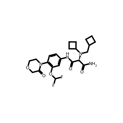 NC(=O)[C@@H](C(=O)Nc1ccc(N2CCOCC2=O)c(OC(F)F)c1)N(CC1CCC1)C1CCC1